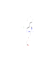 O=C(O)COCCc1nc(Cl)c2c3c(sc2n1)CCCC3